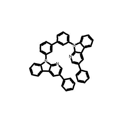 c1ccc(-c2cnc3c(c2)c2ccccc2n3-c2cccc(-c3cccc(-n4c5ccccc5c5cc(-c6ccccc6)cnc54)c3)c2)cc1